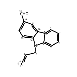 C=CCn1c2ccccc2c2cc(C=O)ccc21